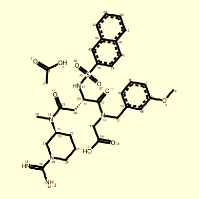 CC(=O)O.COc1cccc(CN(CC(=O)O)C(=O)[C@H](CC(=O)N(C)[C@H]2CCCN(C(=N)N)C2)NS(=O)(=O)c2ccc3ccccc3c2)c1